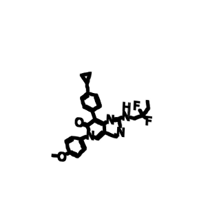 CCC(F)(F)CNc1ncc2cn(-c3ccc(OC)cc3)c(=O)c(-c3ccc(C4CC4)cc3)c2n1